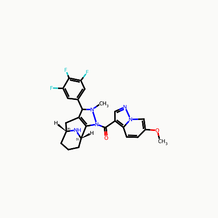 COc1ccc2c(C(=O)N3C4=C(C[C@H]5CCC[C@@H]4N5)C(c4cc(F)c(F)c(F)c4)N3C)cnn2c1